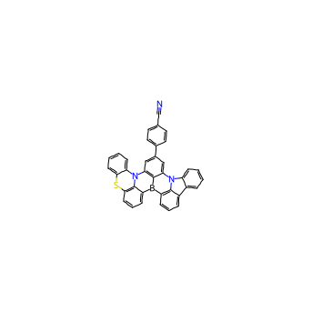 N#Cc1ccc(-c2cc3c4c(c2)-n2c5ccccc5c5cccc(c52)B4c2cccc4c2N3c2ccccc2S4)cc1